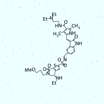 CCN[C@H]1CN(CCCOC)S(=O)(=O)c2sc(S(=O)(=O)/N=C/c3ccc4c(c3)/C(=C/c3[nH]c(C)c(C(=O)NCCN(CC)CC)c3C)C(=O)N4)cc21